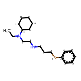 CCN(CCNCCCSc1ccccc1)C1CCCCC1